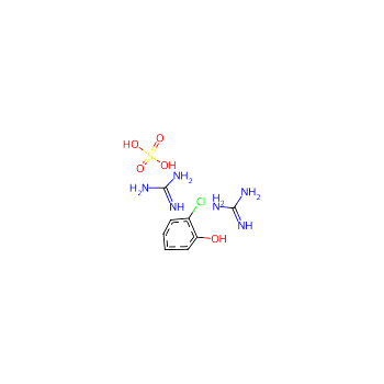 N=C(N)N.N=C(N)N.O=S(=O)(O)O.Oc1ccccc1Cl